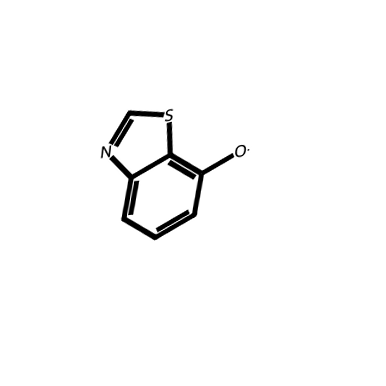 [O]c1cccc2ncsc12